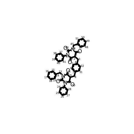 O=C1C(Cc2ccc(CC3C(=O)N(Cc4ccccc4)C(=O)N(c4ccccc4)C3=O)cc2)C(=O)N(c2ccccc2)C(=O)N1Cc1ccccc1